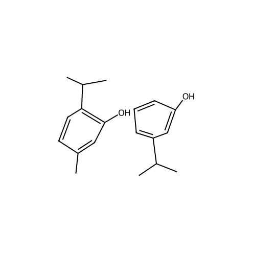 CC(C)c1cccc(O)c1.Cc1ccc(C(C)C)c(O)c1